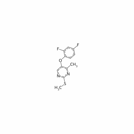 CSc1ncc(Oc2ccc(F)cc2F)c(C)n1